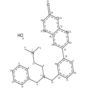 CN(C)CCN(Cc1ccccc1)Cc1cccc(-c2cnc3oc(=O)cnc3c2)c1.Cl